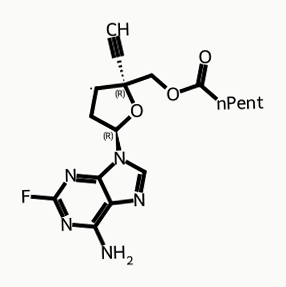 C#C[C@@]1(COC(=O)CCCCC)[CH]C[C@H](n2cnc3c(N)nc(F)nc32)O1